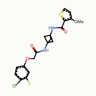 COc1ccsc1C(=O)NC12CC(NC(=O)COc3ccc(Cl)c(F)c3)(C1)C2